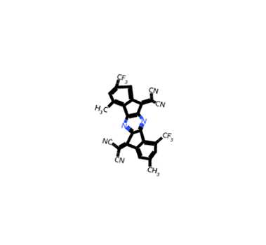 Cc1cc2c(c(C(F)(F)F)c1)-c1nc3c(nc1C2=C(C#N)C#N)-c1c(C)cc(C(F)(F)F)cc1C3=C(C#N)C#N